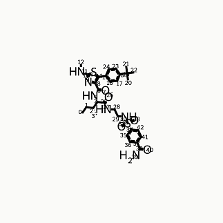 CC[C@@H](C)[C@@H](NC(=O)c1nc(NC)sc1-c1ccc(C(C)(C)C)cc1)C(=O)NCCNS(=O)(=O)c1ccc(C(N)=O)cc1